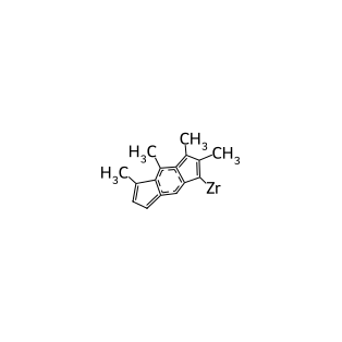 CC1=CC=c2cc3c(c(C)c21)=C(C)C(C)=[C]3[Zr]